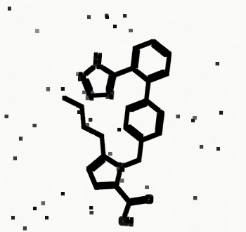 CCCCc1ccc(C(=O)O)n1Cc1ccc(-c2ccccc2-c2nnn[nH]2)cc1